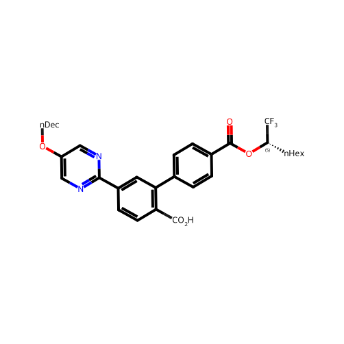 CCCCCCCCCCOc1cnc(-c2ccc(C(=O)O)c(-c3ccc(C(=O)O[C@@H](CCCCCC)C(F)(F)F)cc3)c2)nc1